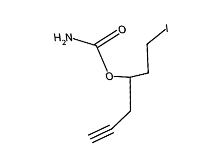 C#CCC(CCI)OC(N)=O